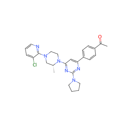 CC(=O)c1ccc(-c2cc(N3CCN(c4ncccc4Cl)C[C@H]3C)nc(N3CCCC3)n2)cc1